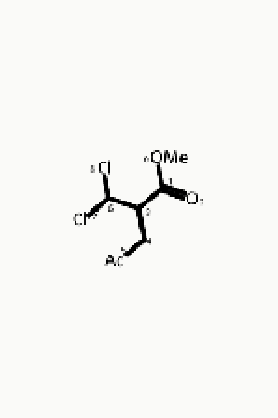 COC(=O)C(CC(C)=O)C(Cl)Cl